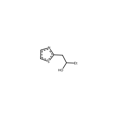 CCC(O)Cc1nccs1